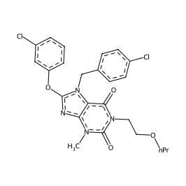 CCCOCCn1c(=O)c2c(nc(Oc3cccc(Cl)c3)n2Cc2ccc(Cl)cc2)n(C)c1=O